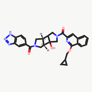 O=C(c1ccc2[nH]nnc2c1)N1C[C@@H]2C3CN(C(=O)c4cc5ccccc5c(OCC5CC5)n4)CC3(O)[C@@H]2C1